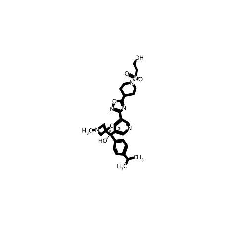 CC(C)c1ccc([C@](O)(c2cncc(-c3noc(C4CCN(S(=O)(=O)CCO)CC4)n3)c2)C2(C)CN(C)C2)cc1